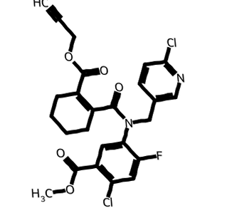 C#CCOC(=O)C1=C(C(=O)N(Cc2ccc(Cl)nc2)c2cc(C(=O)OC)c(Cl)cc2F)CCCC1